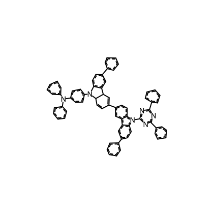 C1=CC2C(C=C1c1ccc3c(c1)c1cc(-c4ccccc4)ccc1n3-c1nc(-c3ccccc3)nc(-c3ccccc3)n1)c1cc(-c3ccccc3)ccc1N2c1ccc(N(c2ccccc2)c2ccccc2)cc1